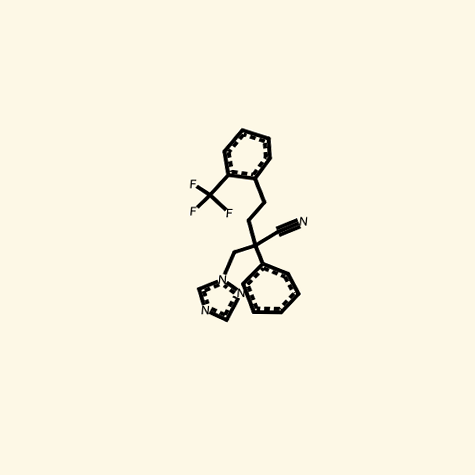 N#CC(CCc1ccccc1C(F)(F)F)(Cn1cncn1)c1ccccc1